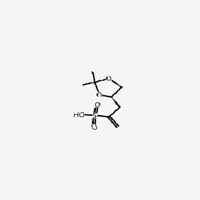 C=C(C[C@@H]1COC(C)(C)O1)S(=O)(=O)O